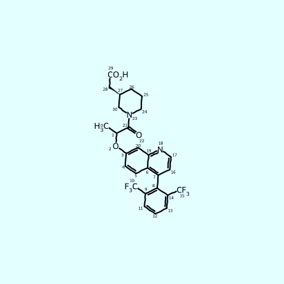 CC(Oc1ccc2c(-c3c(C(F)(F)F)cccc3C(F)(F)F)ccnc2c1)C(=O)N1CCC[C@H](CC(=O)O)C1